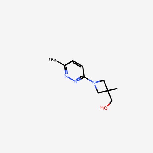 CC1(CO)CN(c2ccc(C(C)(C)C)nn2)C1